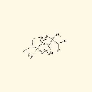 O=C(O)/C(=C(/C(=O)O)C(F)(C(F)F)C(F)(F)F)C(F)(C(F)F)C(F)(F)F